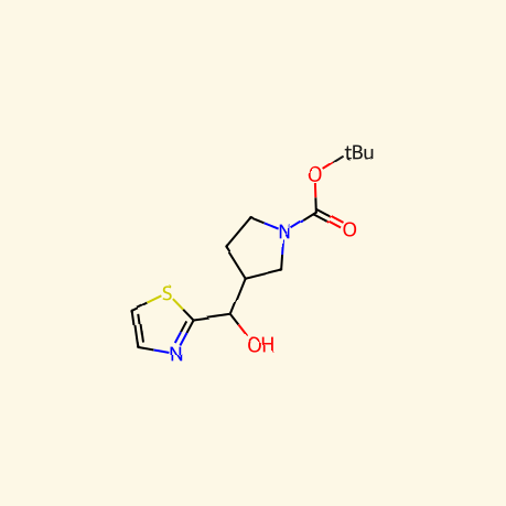 CC(C)(C)OC(=O)N1CCC(C(O)c2nccs2)C1